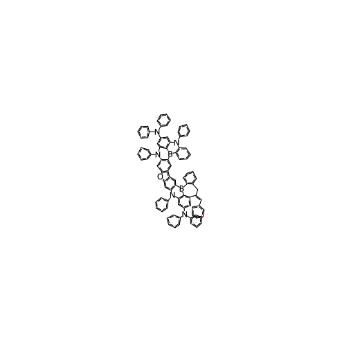 C(=C1\Cc2ccccc2B2c3cc4c(cc3N(c3ccccc3)c3cc(N(c5ccccc5)c5ccccc5)cc1c32)oc1cc2c(cc14)B1c3ccccc3N(c3ccccc3)c3cc(N(c4ccccc4)c4ccccc4)cc(c31)N2c1ccccc1)/c1ccccc1